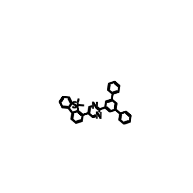 C[Si]1(C)c2ccccc2-c2cccc(-c3cnc(-c4cc(-c5ccccc5)cc(-c5ccccc5)c4)nc3)c21